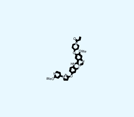 C=CC(=O)N1CCC(Oc2cc3c(Nc4ccc(Oc5ccn(-c6ccnc(OC)c6)n5)cc4F)ncnc3cc2OC)CC1